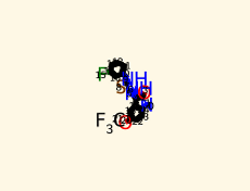 CN1C(=O)/C(=N\NC(=S)Nc2cccc(F)c2)c2cc(OC(F)(F)F)ccc21